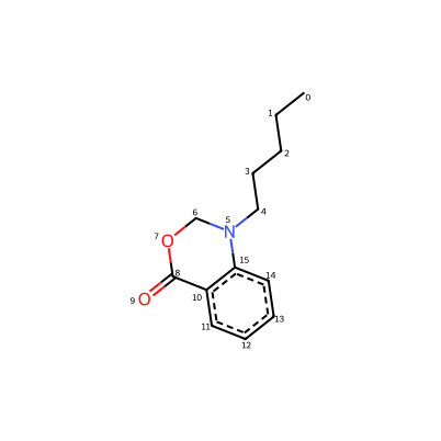 CCCCCN1COC(=O)c2ccccc21